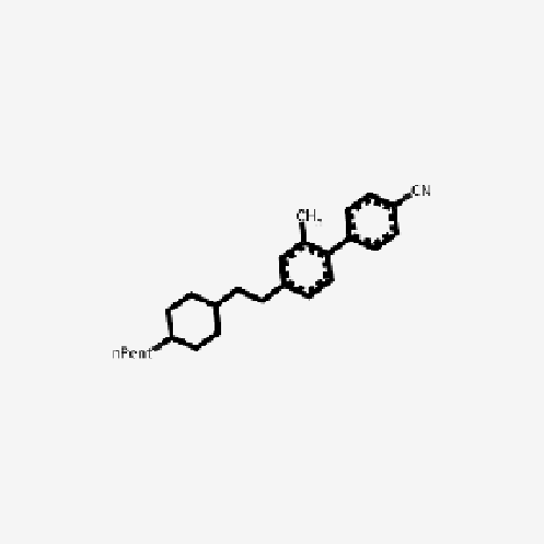 CCCCCC1CCC(CCc2ccc(-c3ccc(C#N)cc3)c(C)c2)CC1